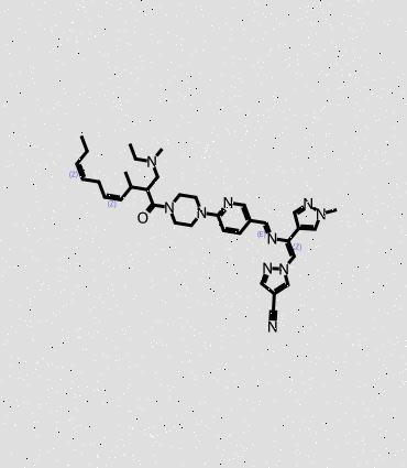 CC/C=C\C/C=C\C(C)C(CN(C)CC)C(=O)N1CCN(c2ccc(/C=N/C(=C\n3cc(C#N)cn3)c3cnn(C)c3)cn2)CC1